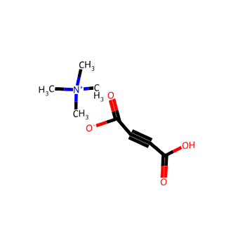 C[N+](C)(C)C.O=C([O-])C#CC(=O)O